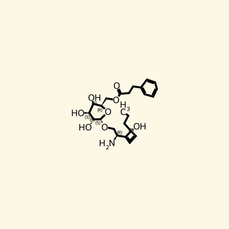 CCC[C@@]1(O)C=C=C1[C@@H](N)CO[C@H]1O[C@H](COC(=O)CCc2ccccc2)[C@H](O)[C@H](O)[C@H]1O